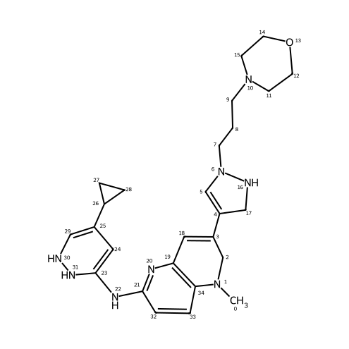 CN1CC(C2=CN(CCCN3CCOCC3)NC2)=Cc2nc(NC3=CC(C4CC4)=CNN3)ccc21